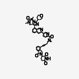 C[C@@H]1C(=O)N(C)Cc2c(-c3cccc4cc(-c5ccc(C(=O)N(C)CCC#Cc6cccc7c6CN(C6CCC(=O)NC6=O)C7=O)nc5)ncc34)nc(C3CCOCC3)n21